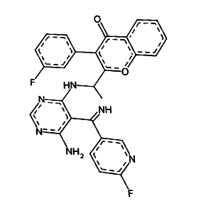 CC(Nc1ncnc(N)c1C(=N)c1ccc(F)nc1)c1oc2ccccc2c(=O)c1-c1cccc(F)c1